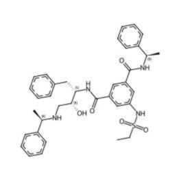 CCS(=O)(=O)Nc1cc(C(=O)N[C@@H](Cc2ccccc2)[C@H](O)CN[C@H](C)c2ccccc2)cc(C(=O)N[C@H](C)c2ccccc2)c1